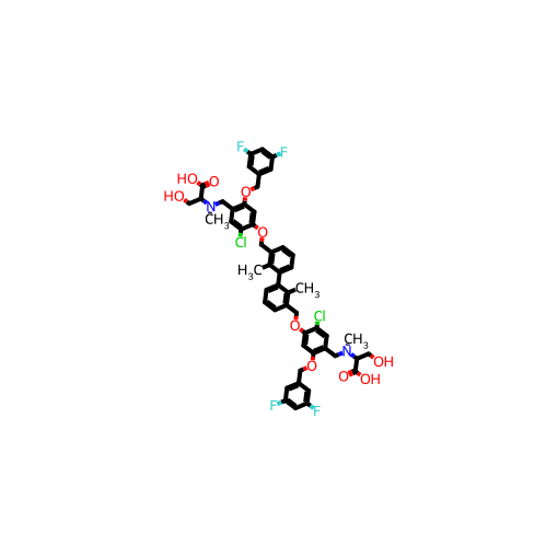 Cc1c(COc2cc(OCc3cc(F)cc(F)c3)c(CN(C)C(CO)C(=O)O)cc2Cl)cccc1-c1cccc(COc2cc(OCc3cc(F)cc(F)c3)c(CN(C)C(CO)C(=O)O)cc2Cl)c1C